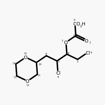 O=C(O)C(=O)OC(CCl)C(Cl)CC1COCCO1